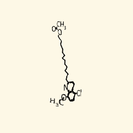 COc1ccc(Cl)c2ccc(CCCCCCCCCCCCCOC(C)=O)nc12